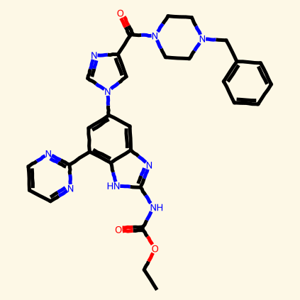 CCOC(=O)Nc1nc2cc(-n3cnc(C(=O)N4CCN(Cc5ccccc5)CC4)c3)cc(-c3ncccn3)c2[nH]1